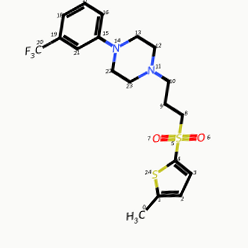 Cc1ccc(S(=O)(=O)CCCN2CCN(c3cccc(C(F)(F)F)c3)CC2)s1